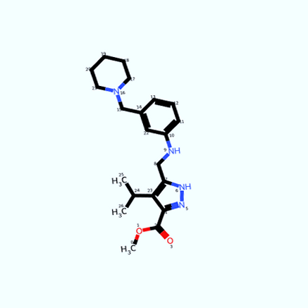 COC(=O)c1n[nH]c(CNc2cccc(CN3CCCCC3)c2)c1C(C)C